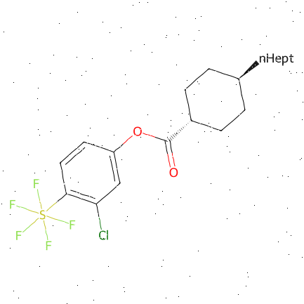 CCCCCCC[C@H]1CC[C@H](C(=O)Oc2ccc(S(F)(F)(F)(F)F)c(Cl)c2)CC1